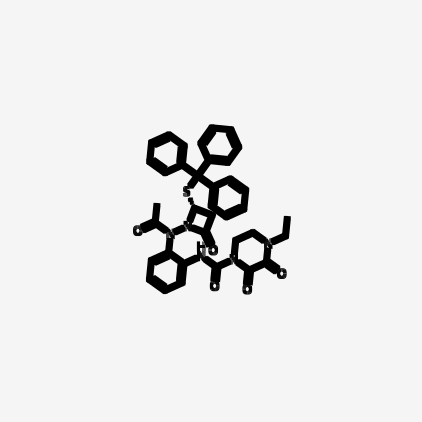 CCN1CCN(C(=O)Nc2ccccc2N(C(C)=O)N2C(=O)C[C@H]2SC(c2ccccc2)(c2ccccc2)c2ccccc2)C(=O)C1=O